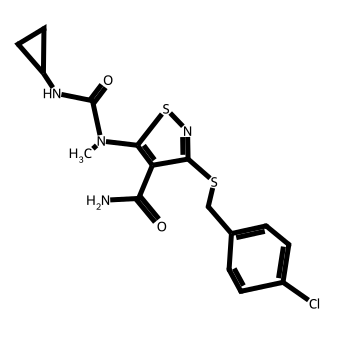 CN(C(=O)NC1CC1)c1snc(SCc2ccc(Cl)cc2)c1C(N)=O